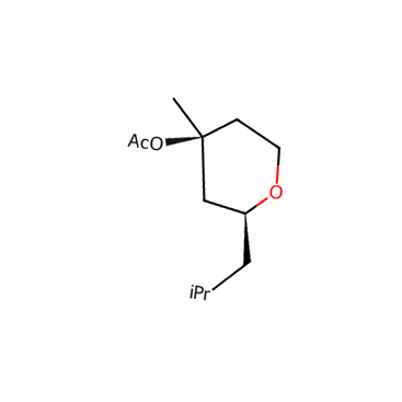 CC(=O)O[C@@]1(C)CCO[C@@H](CC(C)C)C1